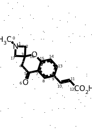 CN1CC2(CC(=O)c3cc(/C=C/C(=O)O)ccc3O2)C1